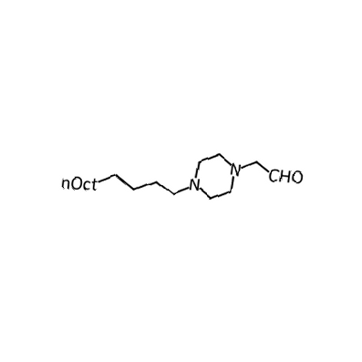 CCCCCCCCCCCCN1CCN(CC=O)CC1